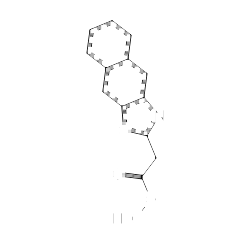 COC(=O)Cc1nc2cc3ccccc3cc2o1